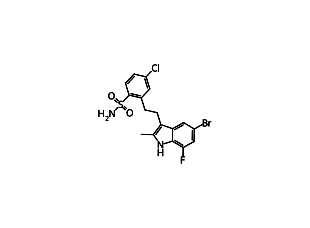 Cc1[nH]c2c(F)cc(Br)cc2c1CCc1cc(Cl)ccc1S(N)(=O)=O